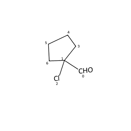 O=CC1(Cl)CCCC1